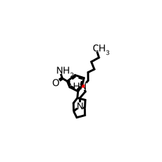 CCCCCCNCCN1C2CCC1CC(c1cccc(C(N)=O)c1)C2